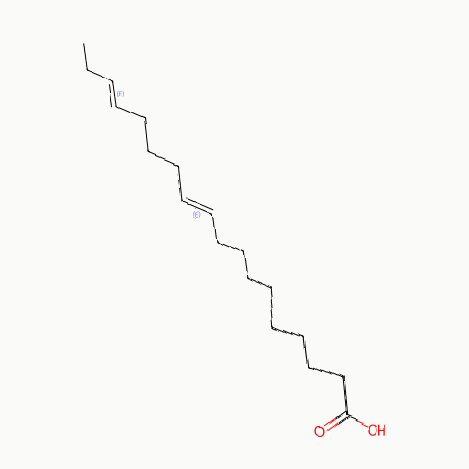 CC/C=C/CCC/C=C/CCCCCCCCC(=O)O